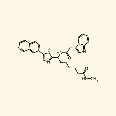 CNC(=O)CCCCC[C@H](NC(=O)Cc1cnc2ccccn12)c1ncc(-c2ccc3ccncc3c2)[nH]1